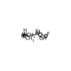 CCc1cc(-c2cccc(F)c2)c(O)cc1OCCCCCC(C)(C)c1nnn[nH]1